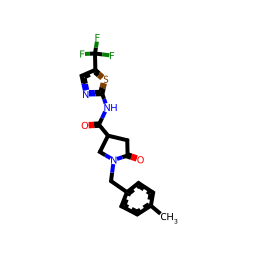 Cc1ccc(CN2CC(C(=O)Nc3ncc(C(F)(F)F)s3)CC2=O)cc1